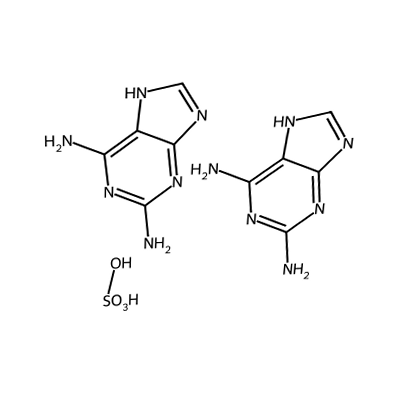 Nc1nc(N)c2[nH]cnc2n1.Nc1nc(N)c2[nH]cnc2n1.O=S(=O)(O)O